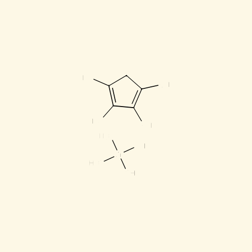 CC1=C(C)C(C)=C(C)[CH]1.[CH3][Zr]([CH3])([CH3])[CH3]